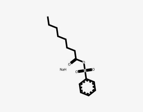 CCCCCCCC(=O)OS(=O)(=O)c1ccccc1.[NaH]